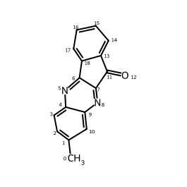 Cc1ccc2nc3c(nc2c1)C(=O)c1ccccc1-3